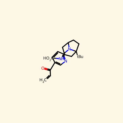 C=CC(=O)c1ccc(N2C3CCC2(C(C)(C)C)CC(NC(=O)O)C3)nc1